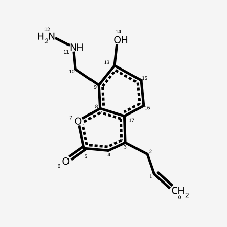 C=CCc1cc(=O)oc2c(CNN)c(O)ccc12